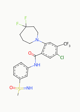 CS(=N)(=O)c1cccc(NC(=O)c2cc(Cl)c(C(F)(F)F)cc2N2CCCC(F)(F)CC2)c1